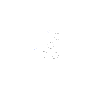 CN(C)Cc1ccc(-c2ccc[c]c2-c2cccc(-c3ccccc3CN(C)C)c2)cc1